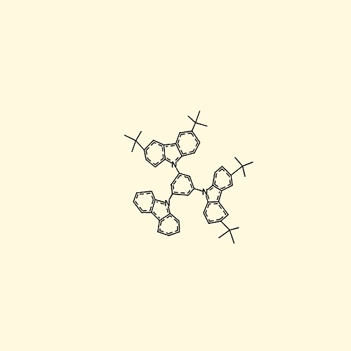 CC(C)(C)c1ccc2c(c1)c1cc(C(C)(C)C)ccc1n2-c1cc(-n2c3ccccc3c3ccccc32)cc(-n2c3ccc(C(C)(C)C)cc3c3cc(C(C)(C)C)ccc32)c1